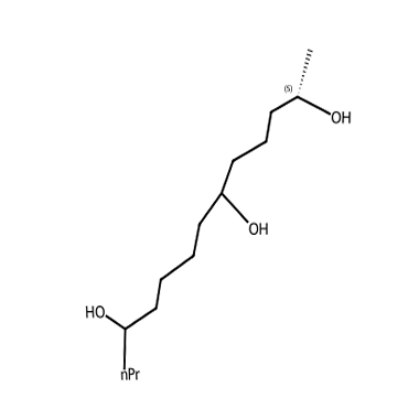 CCCC(O)CCCCC(O)CCC[C@H](C)O